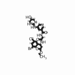 CCOC(=O)CC(NC(=O)CNC(=O)c1cncc(NC2=NCC(O)CN2)c1)c1cc(Cl)cc(Br)c1